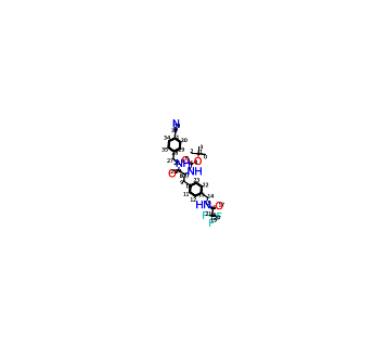 CC(C)(C)OC(=O)N[C@@H](Cc1ccc(CNC(=O)C(F)(F)F)cc1)C(=O)NCc1ccc(C#N)cc1